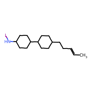 C/C=C/CCC1CCC(C2CCC(NI)CC2)CC1